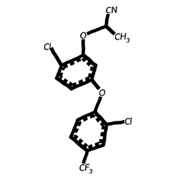 CC(C#N)Oc1cc(Oc2ccc(C(F)(F)F)cc2Cl)ccc1Cl